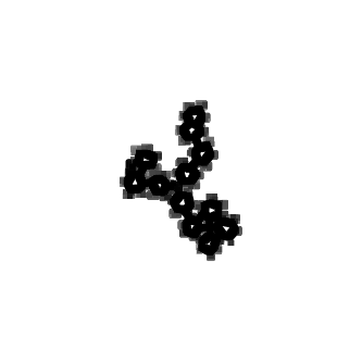 c1ccc(C2(c3ccccc3)c3ccccc3-c3c(-c4ccc(N(c5ccc(-c6cccc(-c7ccc8ccccc8c7)c6)cc5)c5ccc(-c6cccc7sc8ccccc8c67)cc5)cc4)cccc32)cc1